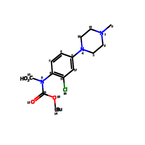 CN1CCN(c2ccc(N(C(=O)O)C(=O)OC(C)(C)C)c(Cl)c2)CC1